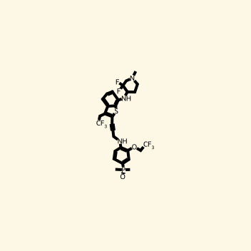 CN1CCC(Nc2cccc3c(CC(F)(F)F)c(C#CCNc4ccc(P(C)(C)=O)cc4OCC(F)(F)F)sc23)C(F)(F)C1